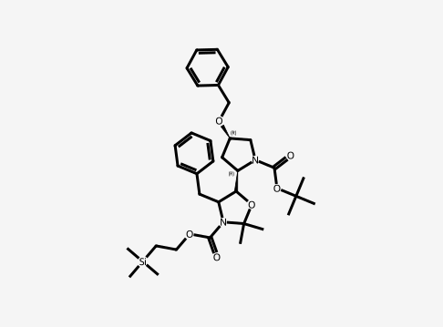 CC(C)(C)OC(=O)N1C[C@H](OCc2ccccc2)C[C@@H]1C1OC(C)(C)N(C(=O)OCC[Si](C)(C)C)C1Cc1ccccc1